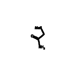 CSCC(N)=O